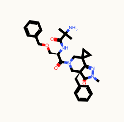 CN1N=C2C3(CC3)CN(C(=O)[C@@H](COCc3ccccc3)NC(=O)C(C)(C)N)C[C@@]2(Cc2ccccc2)C1=O